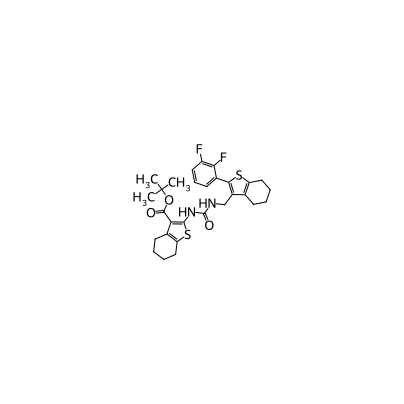 CC(C)(C)OC(=O)c1c(NC(=O)NCc2c(-c3cccc(F)c3F)sc3c2CCCC3)sc2c1CCCC2